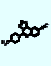 [C-]#[N+]c1ccc2nc(N3CCN(C)CC3)n3nnnc3c2c1